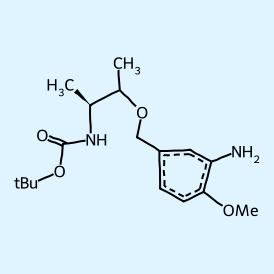 COc1ccc(COC(C)[C@H](C)NC(=O)OC(C)(C)C)cc1N